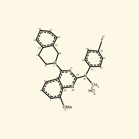 COc1cccc2c(N3CCc4ccccc4C3)nc(N(C)c3ccc(F)cc3)nc12.Cl